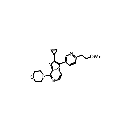 COCCc1ccc(-c2c(C3CC3)nc3c(N4CCOCC4)nccn23)cn1